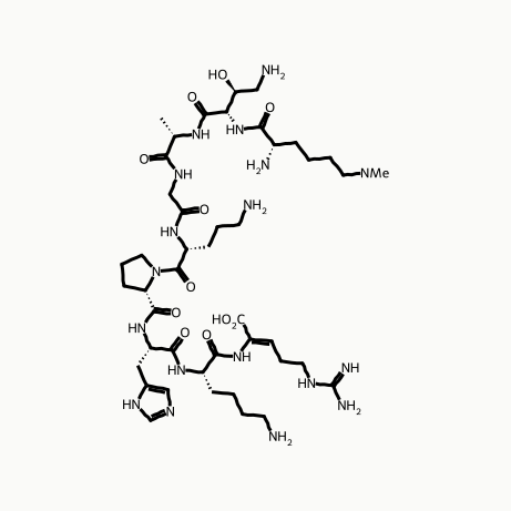 CNCCCC[C@H](N)C(=O)N[C@H](C(=O)N[C@@H](C)C(=O)NCC(=O)N[C@H](CCCN)C(=O)N1CCC[C@H]1C(=O)N[C@@H](Cc1cnc[nH]1)C(=O)N[C@@H](CCCCN)C(=O)N/C(=C\CCNC(=N)N)C(=O)O)[C@@H](O)CN